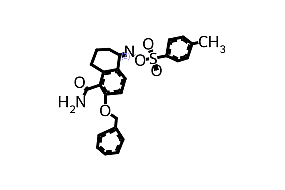 Cc1ccc(S(=O)(=O)O/N=C2/CCCc3c2ccc(OCc2ccccc2)c3C(N)=O)cc1